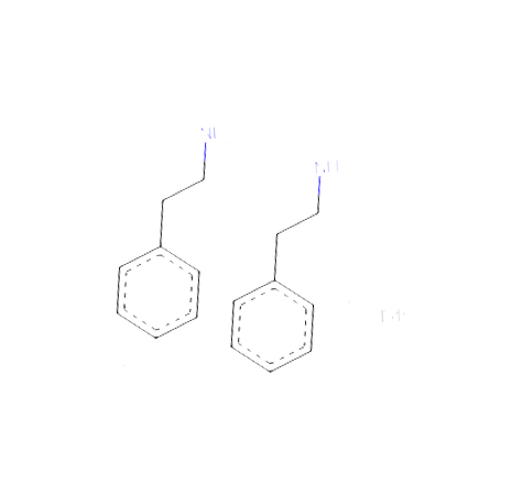 NCCc1ccccc1.NCCc1ccccc1.[Cl-].[Cl-].[Pd+2]